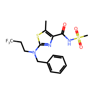 Cc1sc(N(CCC(F)(F)F)Cc2ccccc2)nc1C(=O)NS(C)(=O)=O